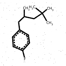 CC(Cc1ccc(F)cc1)CC(C)(C)C